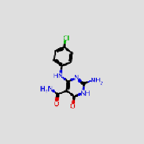 NC(=O)c1c(Nc2ccc(Cl)cc2)nc(N)[nH]c1=O